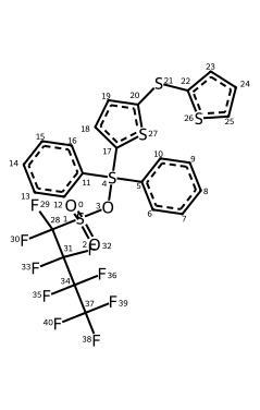 O=S(=O)(OS(c1ccccc1)(c1ccccc1)c1ccc(Sc2cccs2)s1)C(F)(F)C(F)(F)C(F)(F)C(F)(F)F